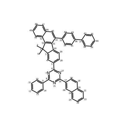 CC1(C)c2cc(-c3nc(-c4ccccc4)nc(-c4ccc5ccccc5c4)n3)ccc2-c2c(-c3ccc(-c4ccccc4)cc3)cc3ccccc3c21